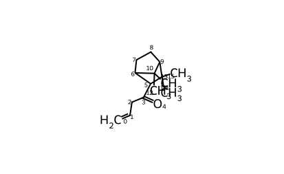 C=CCC(=O)C1C2CCC(C2(C)C)C1(C)C